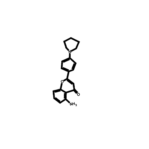 Nc1cccc2oc(-c3ccc(N4CCCCC4)cc3)cc(=O)c12